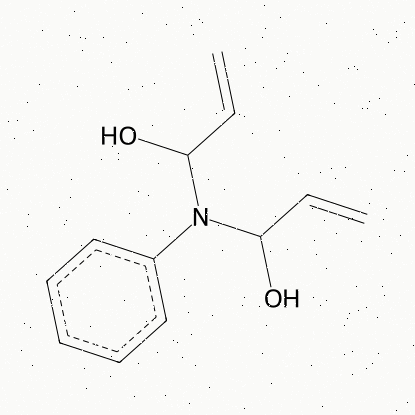 C=CC(O)N(c1ccccc1)C(O)C=C